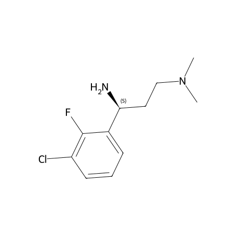 CN(C)CC[C@H](N)c1cccc(Cl)c1F